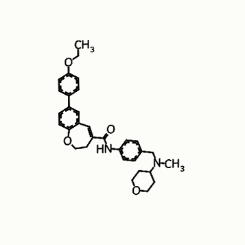 CCOc1ccc(-c2ccc3c(c2)C=C(C(=O)Nc2ccc(CN(C)C4CCOCC4)cc2)CCO3)cc1